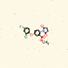 COC(=O)c1cc(Oc2ccc(Cl)cc2Cl)ccc1N1C(=O)C=CC1=O